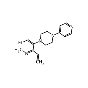 C=CC(=N/C)/C(=C\CC)N1CCN(c2ccncc2)CC1